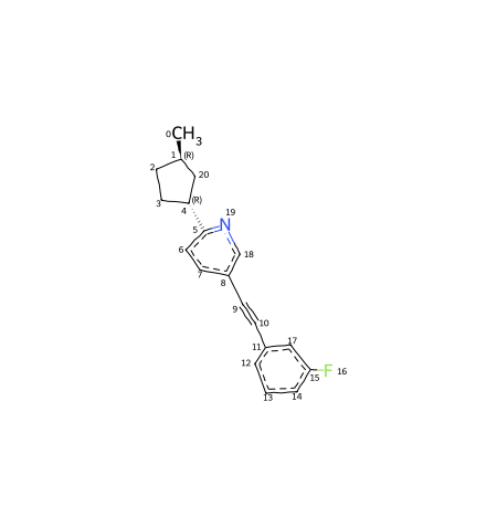 C[C@@H]1CC[C@@H](c2ccc(C#Cc3cccc(F)c3)cn2)C1